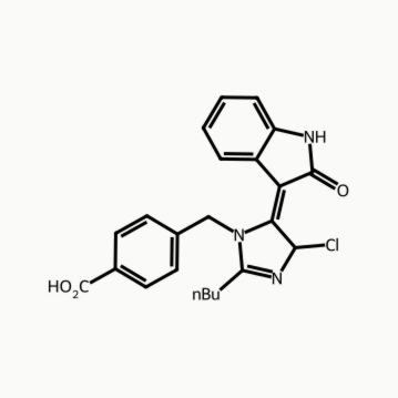 CCCCC1=NC(Cl)/C(=C2\C(=O)Nc3ccccc32)N1Cc1ccc(C(=O)O)cc1